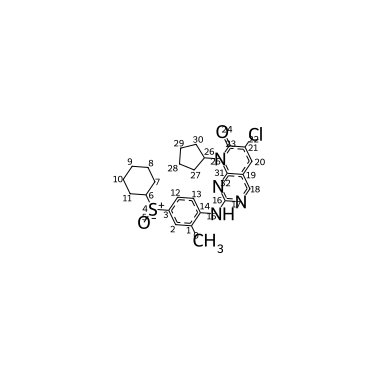 Cc1cc([S+]([O-])C2CCCCC2)ccc1Nc1ncc2cc(Cl)c(=O)n(C3CCCC3)c2n1